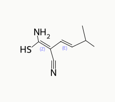 CC(C)/C=C/C(C#N)=C(\N)S